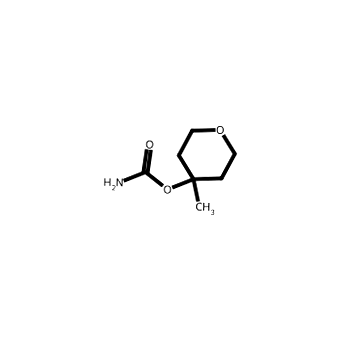 CC1(OC(N)=O)CCOCC1